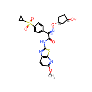 COc1ccc2nc(NC(=O)/C(=N/O[C@@H]3CC[C@@H](O)C3)c3ccc(S(=O)(=O)C4CC4)cc3)sc2n1